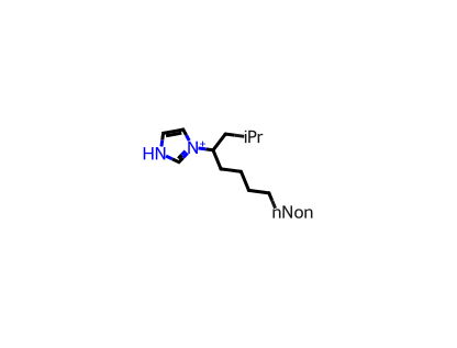 CCCCCCCCCCCCCC(CC(C)C)[n+]1cc[nH]c1